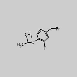 CC(C)Oc1ccc(CBr)cc1F